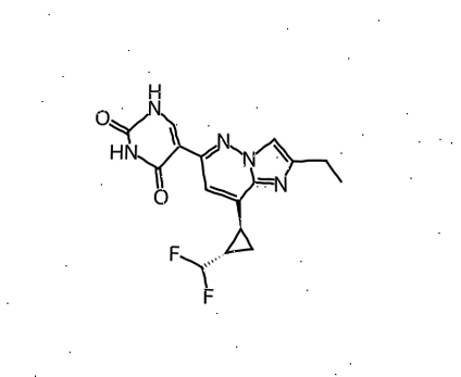 CCc1cn2nc(-c3c[nH]c(=O)[nH]c3=O)cc([C@H]3C[C@@H]3C(F)F)c2n1